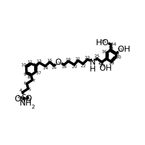 NS(=O)(=O)CCCCc1cccc(CCCCOCCCCCCNC[C@@H](O)c2ccc(O)c(CO)c2)c1